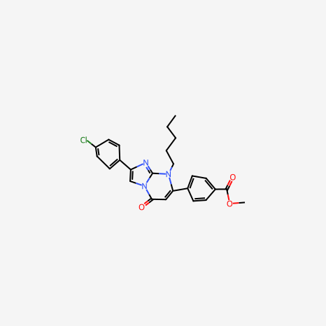 CCCCCn1c(-c2ccc(C(=O)OC)cc2)cc(=O)n2cc(-c3ccc(Cl)cc3)nc12